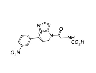 O=C(O)NCC(=O)N1CC=C(c2cccc([N+](=O)[O-])c2)n2nccc21